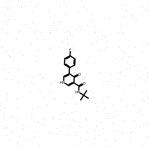 CC(C)(C)NC(=O)c1c[nH]cc(-c2ccc(F)cc2)c1=O